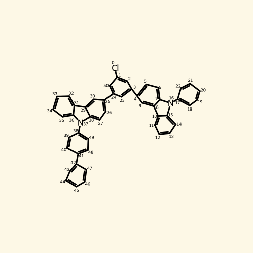 Clc1cc(-c2ccc3c(c2)c2ccccc2n3-c2ccccc2)cc(-c2ccc3c(c2)c2ccccc2n3-c2ccc(-c3ccccc3)cc2)c1